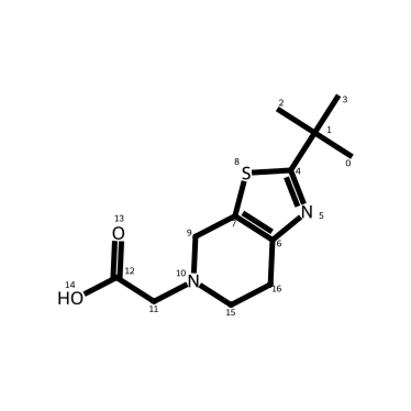 CC(C)(C)c1nc2c(s1)CN(CC(=O)O)CC2